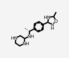 CC1NC(c2ccc([C@@H](C)NC3CNCCN3)cc2)NO1